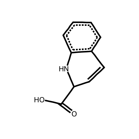 O=C(O)C1C=Cc2ccccc2N1